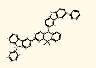 CC1(C)c2ccccc2N(c2ccc3sc4ccc(-c5ccccc5)cc4c3c2)c2ccc(-c3ccc4c(c3)c3ccccc3n4-c3ccccc3)cc21